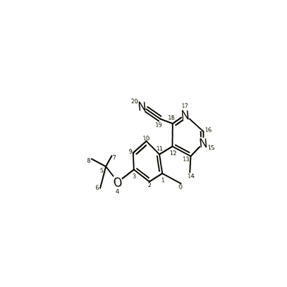 Cc1cc(OC(C)(C)C)ccc1-c1c(C)ncnc1C#N